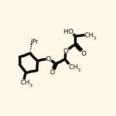 CC1CC[C@H](C(C)C)C(OC(=O)C(C)OC(=O)C(C)O)C1